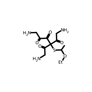 CCOC(C)SC(C(=O)CN)(C(=O)CN)C(=O)C(=O)CN